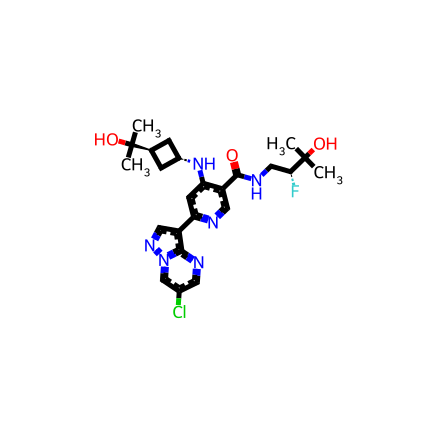 CC(C)(O)[C@H](F)CNC(=O)c1cnc(-c2cnn3cc(Cl)cnc23)cc1N[C@H]1C[C@H](C(C)(C)O)C1